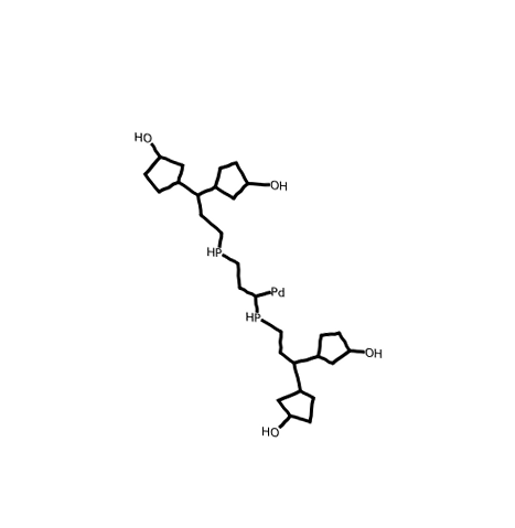 OC1CCC(C(CCPCC[CH]([Pd])PCCC(C2CCC(O)C2)C2CCC(O)C2)C2CCC(O)C2)C1